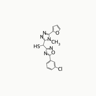 Cn1c(-c2ccco2)nnc1C(S)c1noc(-c2cccc(Cl)c2)n1